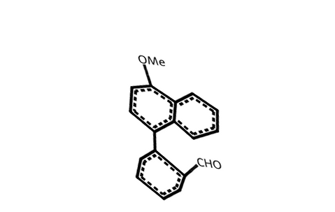 COc1ccc(-c2ccccc2C=O)c2ccccc12